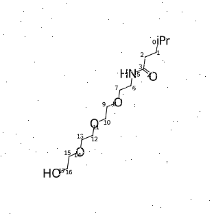 CC(C)CCC(=O)NCCOCCOCCOCCO